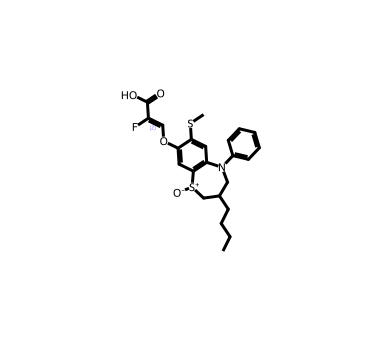 CCCCC1CN(c2ccccc2)c2cc(SC)c(O/C=C(\F)C(=O)O)cc2[S+]([O-])C1